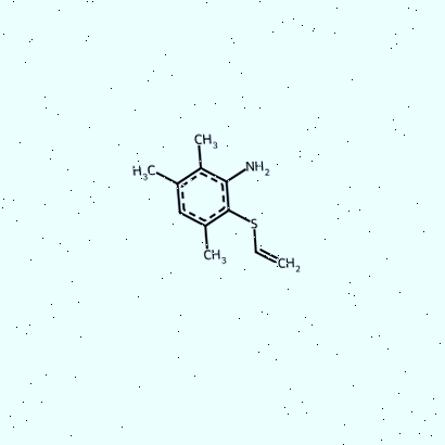 C=CSc1c(C)cc(C)c(C)c1N